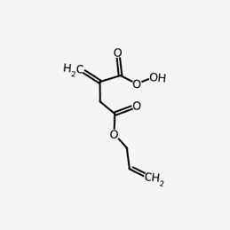 C=CCOC(=O)CC(=C)C(=O)OO